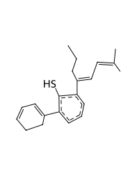 CCC/C(=C\C=C(C)C)c1cccc(C2=CC=CCC2)c1S